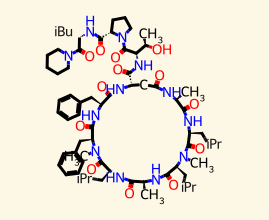 CC[C@H](C)[C@H](NC(=O)[C@@H]1CCCN1C(=O)[C@@H](NC(=O)[C@@H]1CC(=O)N[C@@H](C)C(=O)N[C@@H](CC(C)C)C(=O)N(C)[C@@H](CC(C)C)C(=O)N[C@@H](C)C(=O)N[C@@H](CC(C)C)C(=O)N(C)[C@@H](Cc2ccccc2)C(=O)N[C@@H](Cc2ccccc2)C(=O)N1)[C@@H](C)O)C(=O)N1CCCCC1